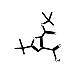 CC(C)(C)OC(=O)c1sc(C(C)(C)C)cc1C(=O)O